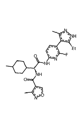 CCc1[nH]nc(C)c1-c1ccc(NC(=O)[C@@H](NC(=O)c2conc2C)C2CCC(C)CC2)nc1F